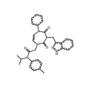 Cc1ccc(N(C(=O)CN2C=CN(c3ccccc3)C(=O)C(Cc3n[nH]c4ccccc34)C2=O)C(C)C)cc1